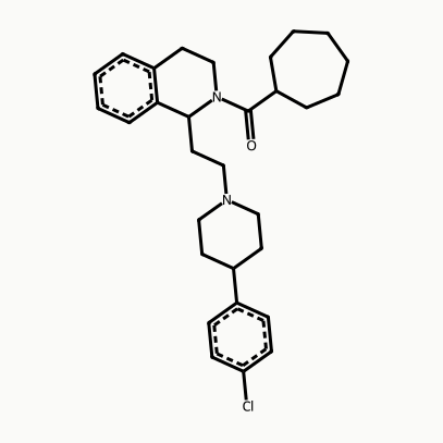 O=C(C1CCCCCC1)N1CCc2ccccc2C1CCN1CCC(c2ccc(Cl)cc2)CC1